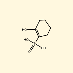 O=P(O)(O)C1=C(O)CCCC1